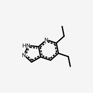 CCc1cc2cn[nH]c2nc1CC